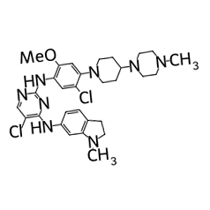 COc1cc(N2CCC(N3CCN(C)CC3)CC2)c(Cl)cc1Nc1ncc(Cl)c(Nc2ccc3c(c2)N(C)CC3)n1